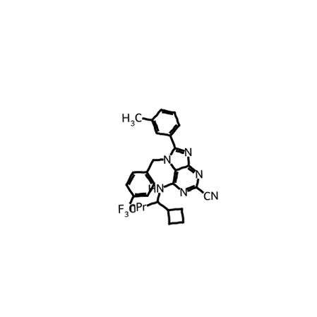 CCCC(Nc1nc(C#N)nc2nc(-c3cccc(C)c3)n(Cc3ccc(C(F)(F)F)cc3)c12)C1CCC1